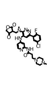 CN1CCN(CCC(=O)Nc2cc(Nc3cc(-c4cc(Cl)ccc4F)nnc3N(C)CC3C(=O)COC3=O)ccn2)CC1